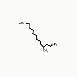 [CH2]C(CC=C)CCCCCCCCCCCCCCCC